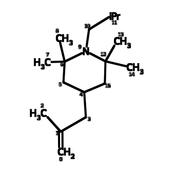 C=C(C)CC1CC(C)(C)N(CC(C)C)C(C)(C)C1